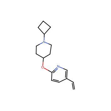 C=Cc1ccc(OC2CCN(C3CCC3)CC2)nc1